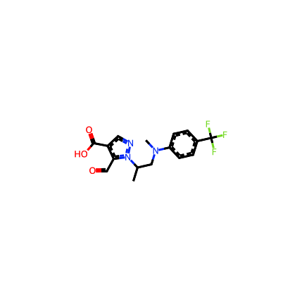 CC(CN(C)c1ccc(C(F)(F)F)cc1)n1ncc(C(=O)O)c1C=O